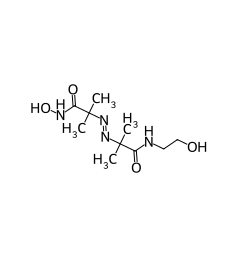 CC(C)(N=NC(C)(C)C(=O)NCCO)C(=O)NO